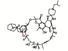 C/C1=C/C=C/C(C)[C@H](O)[C@@H](C)C(O)C[C@H](OC(=O)CC(=O)N2C3CCC2CC(c2ccccc2)C3)CC/C=C/OC2(C)Oc3c(C)c(O)c4c(c3C2=O)C2=NC3(CCN(CC(C)C)CC3)NC2=C(NC1=O)C4=O